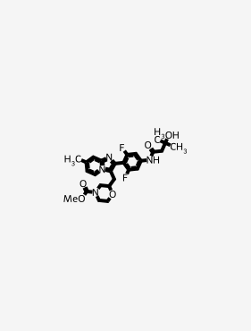 COC(=O)N1CCOC(Cc2c(-c3c(F)cc(NC(=O)CC(C)(C)O)cc3F)nc3cc(C)ccn23)C1